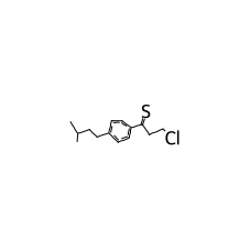 CC(C)CCc1ccc(C(=S)CCCl)cc1